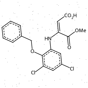 COC(=O)C(=CC(=O)O)Nc1cc(Cl)cc(Cl)c1OCc1ccccc1